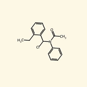 CCc1ccccc1C(Cl)N(C(C)=O)c1ccccc1